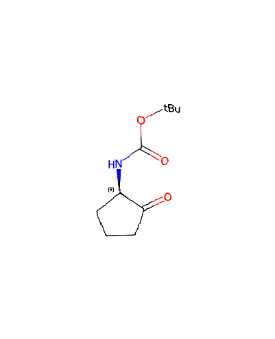 CC(C)(C)OC(=O)N[C@@H]1CCCC1=O